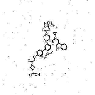 COCCCn1cc(CN(C(=O)[C@H]2CN(C(=O)OC(C)(C)C)CC[C@@H]2c2cccc(-c3ccc(OCC(=O)N4CC(C(=O)O)C4)cc3)c2)C2CC2)c2ccccc21